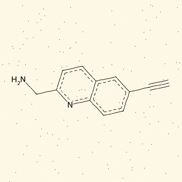 C#Cc1ccc2nc(CN)ccc2c1